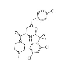 CN1CCN(C(=O)C(COCc2ccc(Cl)cc2)NC(=O)C2(c3ccc(Cl)cc3Cl)CC2)CC1